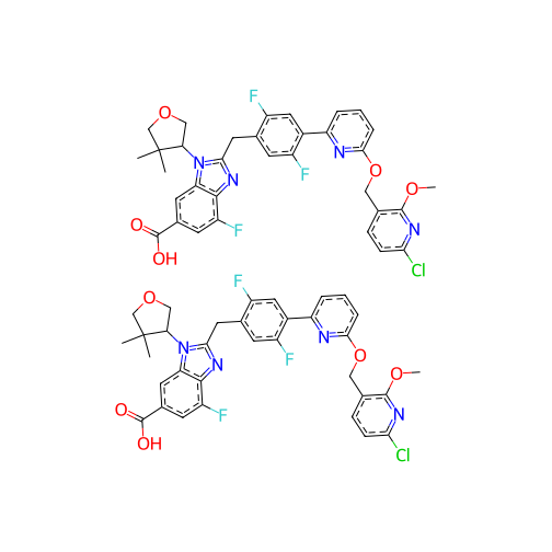 COc1nc(Cl)ccc1COc1cccc(-c2cc(F)c(Cc3nc4c(F)cc(C(=O)O)cc4n3C3COCC3(C)C)cc2F)n1.COc1nc(Cl)ccc1COc1cccc(-c2cc(F)c(Cc3nc4c(F)cc(C(=O)O)cc4n3C3COCC3(C)C)cc2F)n1